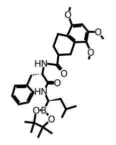 COc1cc(OC)c(OC)c2c1CCC(C(=O)N[C@@H](Cc1ccccc1)C(=O)N[C@@H](CC(C)C)B1OC(C)(C)C(C)(C)O1)C2